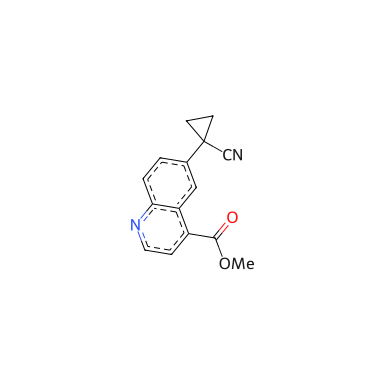 COC(=O)c1ccnc2ccc(C3(C#N)CC3)cc12